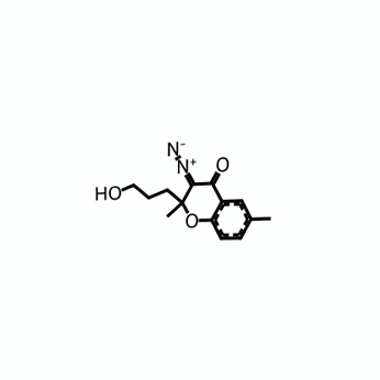 Cc1ccc2c(c1)C(=O)C(=[N+]=[N-])C(C)(CCCO)O2